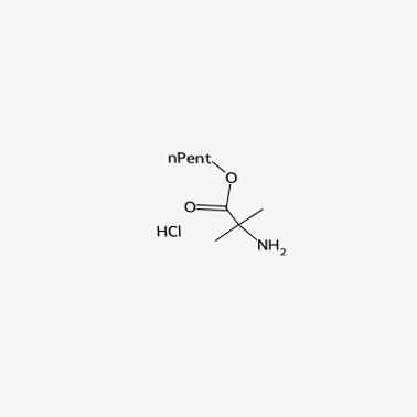 CCCCCOC(=O)C(C)(C)N.Cl